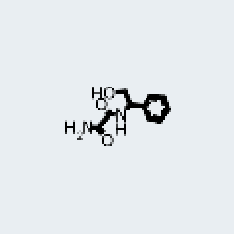 NC(=O)C(=O)NC(CO)c1ccccc1